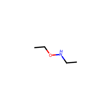 C[CH]NOCC